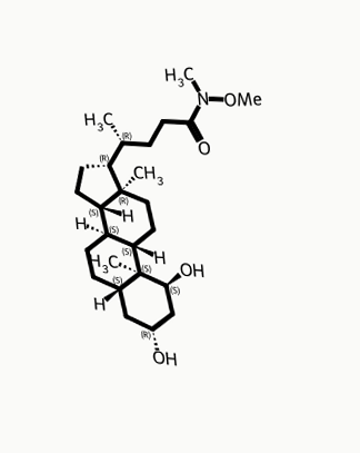 CON(C)C(=O)CC[C@@H](C)[C@H]1CC[C@H]2[C@@H]3CC[C@H]4C[C@@H](O)C[C@H](O)[C@]4(C)[C@H]3CC[C@]12C